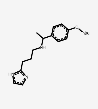 CCCCOc1ccc(C(C)NCCCc2ncc[nH]2)cc1